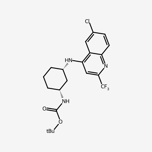 CC(C)(C)OC(=O)N[C@@H]1CCC[C@H](Nc2cc(C(F)(F)F)nc3ccc(Cl)cc23)C1